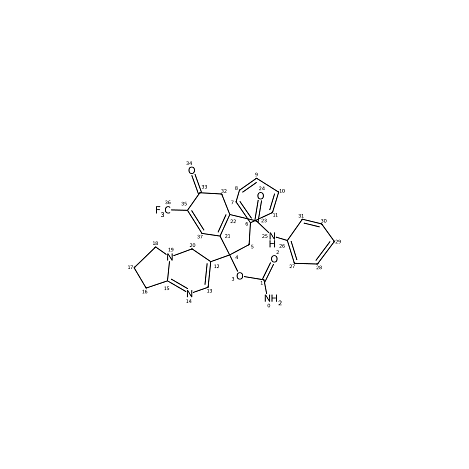 NC(=O)OC(Cc1ccccc1)(C1=CN=C2CCCN2C1)C1=C(C(=O)Nc2ccccc2)CC(=O)C(C(F)(F)F)=C1